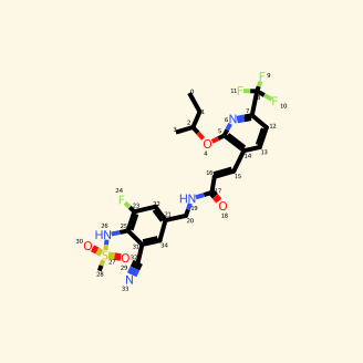 CCC(C)Oc1nc(C(F)(F)F)ccc1C=CC(=O)NCc1cc(F)c(NS(C)(=O)=O)c(C#N)c1